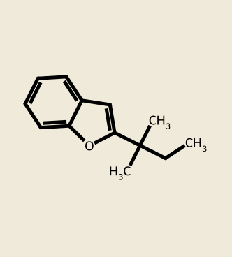 CCC(C)(C)c1cc2ccccc2o1